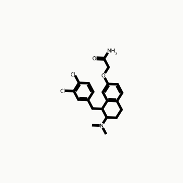 CN(C)C1CCc2ccc(OCC(N)=O)cc2C1Cc1ccc(Cl)c(Cl)c1